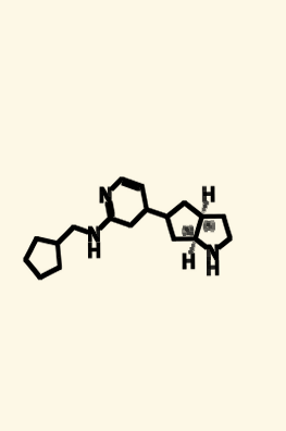 C1=CC(C2C[C@H]3CCN[C@H]3C2)CC(NCC2CCCC2)=N1